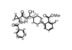 COC(=O)c1c(F)cccc1N1CCC(C(C)NC(=O)C2(NC(=O)c3cncnc3)CC2)CC1